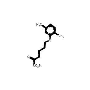 CCOC(=O)C(=O)CCCCOc1cc(C)ccc1C